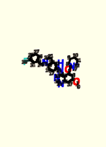 COc1cc(O[N+]2(C)CCCCC2)c2c(Nc3ccc4c(ccn4Cc4cccc(F)c4)c3)ncnc2c1